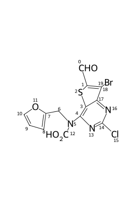 O=Cc1sc2c(N(Cc3ccco3)C(=O)O)nc(Cl)nc2c1Br